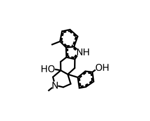 Cc1cccc2[nH]c3c(c12)CC1(O)CN(C)CCC1(c1cccc(O)c1)C3